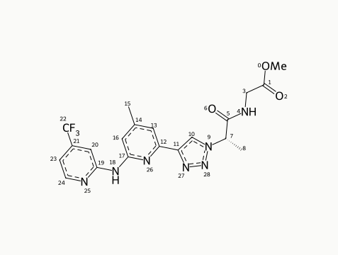 COC(=O)CNC(=O)[C@H](C)n1cc(-c2cc(C)cc(Nc3cc(C(F)(F)F)ccn3)n2)nn1